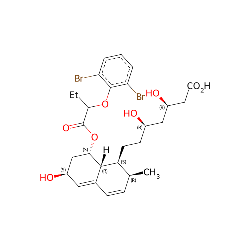 CCC(Oc1c(Br)cccc1Br)C(=O)O[C@H]1C[C@H](O)C=C2C=C[C@H](C)[C@H](CC[C@@H](O)C[C@@H](O)CC(=O)O)[C@H]21